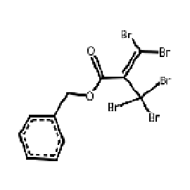 O=C(OCc1ccccc1)C(=C(Br)Br)C(Br)(Br)Br